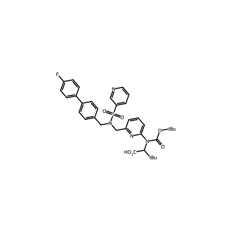 CC(C)(C)OC(=O)N(c1cccc(CN(Cc2ccc(-c3ccc(F)cc3)cc2)S(=O)(=O)c2cccnc2)n1)C(C(=O)O)C(C)(C)C